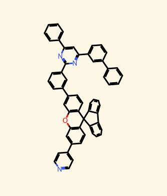 c1ccc(-c2cccc(-c3cc(-c4ccccc4)nc(-c4cccc(-c5ccc6c(c5)Oc5cc(-c7ccncc7)ccc5C65c6ccccc6-c6ccccc65)c4)n3)c2)cc1